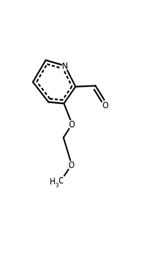 COCOc1cccnc1C=O